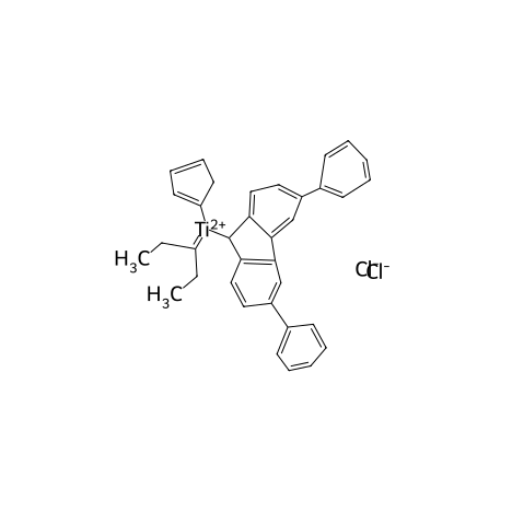 CC[C](CC)=[Ti+2]([C]1=CC=CC1)[CH]1c2ccc(-c3ccccc3)cc2-c2cc(-c3ccccc3)ccc21.[Cl-].[Cl-]